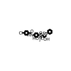 CCC(C(O)(COc1ccccc1)C(=O)O)S(=O)(=O)c1ccc(NC(=O)c2ccc(Cl)cc2)cc1